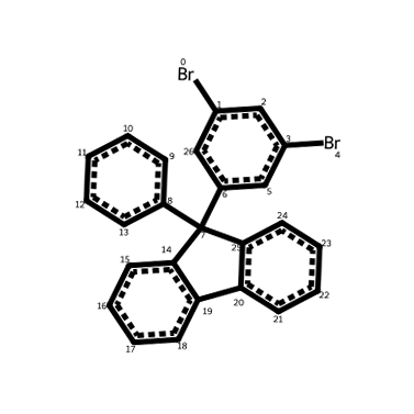 Brc1cc(Br)cc(C2(c3ccccc3)c3ccccc3-c3ccccc32)c1